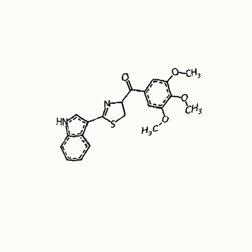 COc1cc(C(=O)C2CSC(c3c[nH]c4ccccc34)=N2)cc(OC)c1OC